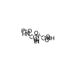 CCOc1ccc(NC(=O)C(C)C)cc1C(=O)NC(C)c1ccc2c(c1)ONO2